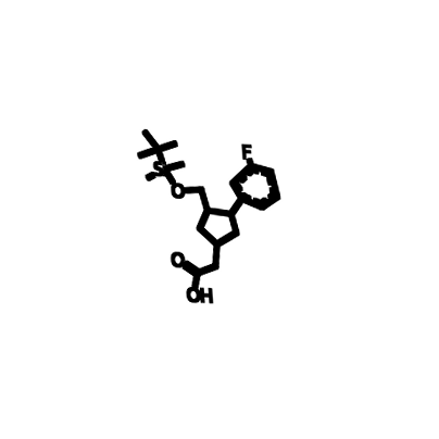 CC(C)(C)[Si](C)(C)OCC1CC(CC(=O)O)CC1c1cccc(F)c1